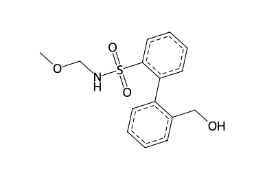 COCNS(=O)(=O)c1ccccc1-c1ccccc1CO